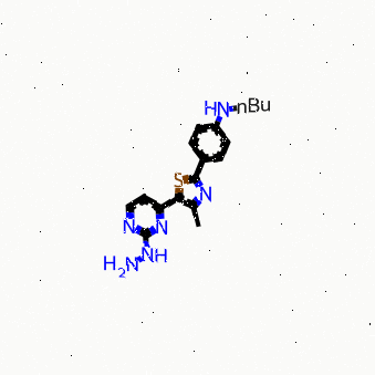 CCCCNc1ccc(-c2nc(C)c(-c3ccnc(NN)n3)s2)cc1